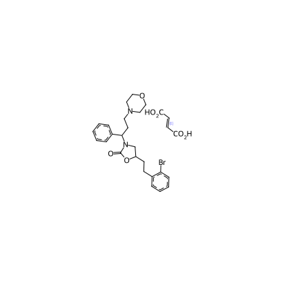 O=C(O)/C=C/C(=O)O.O=C1OC(CCc2ccccc2Br)CN1C(CCN1CCOCC1)c1ccccc1